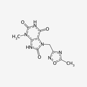 Cc1nc(Cn2c(=O)[nH]c3c2c(=O)[nH]c(=O)n3C)no1